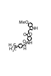 COc1ccc2[nH]cc(/C=C3\Oc4ccc(NC(=O)Nc5ccc(N(C)C)cc5)cc4C3=O)c2c1